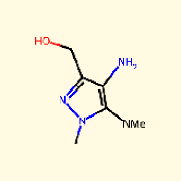 CNc1c(N)c(CO)nn1C